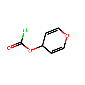 O=C(Cl)OC1C=COC=C1